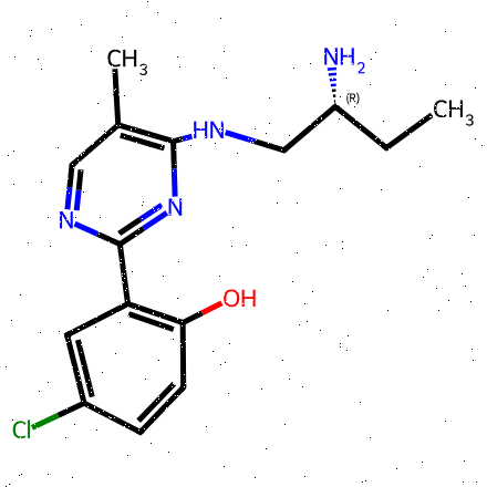 CC[C@@H](N)CNc1nc(-c2cc(Cl)ccc2O)ncc1C